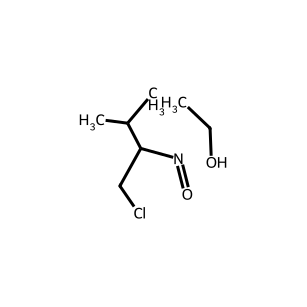 CC(C)C(CCl)N=O.CCO